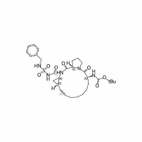 CC(C)(C)OC(=O)N[C@H]1CCCCC/C=C\[C@@H]2C[C@@]2(C(=O)NS(=O)(=O)NCc2ccccc2)NC(=O)[C@@H]2CCCN2C1=O